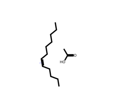 CC(=O)O.CCCC/C=C\CCCCCC